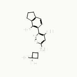 Cc1cc(N[C@H]2C[C@@](C)(O)C2)nnc1-c1ccc2c(c1O)CCC2